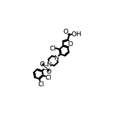 O=C(O)c1cc2c(Cl)c(N3CCN(S(=O)(=O)c4cccc(Cl)c4Cl)CC3)ccc2o1